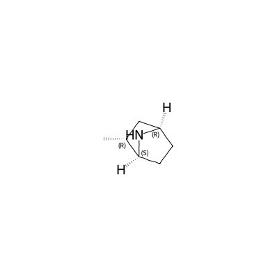 C[C@@H]1C[C@H]2CC[C@@H]1N2